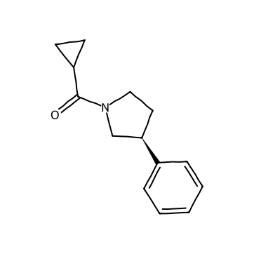 O=C(C1CC1)N1CC[C@@H](c2ccccc2)C1